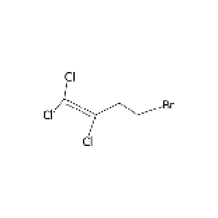 ClC(Cl)=C(Cl)CCBr